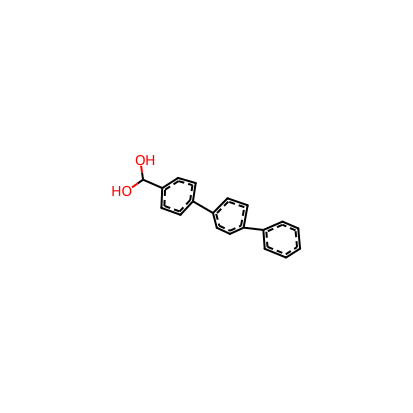 OC(O)c1ccc(-c2ccc(-c3ccccc3)cc2)cc1